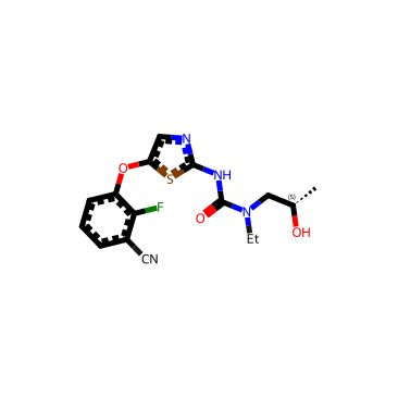 CCN(C[C@H](C)O)C(=O)Nc1ncc(Oc2cccc(C#N)c2F)s1